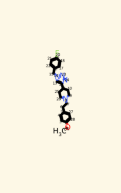 COc1ccc(CCN2CCC(c3cn(Cc4ccc(F)cc4)nn3)CC2)cc1